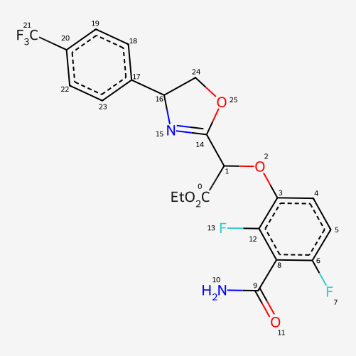 CCOC(=O)C(Oc1ccc(F)c(C(N)=O)c1F)C1=NC(c2ccc(C(F)(F)F)cc2)CO1